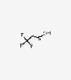 OSCC(F)(F)F